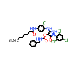 CCCCCCCCCCCCCCCC(=O)Nc1ccc(Nc2[nH]n(-c3c(Cl)cc(Cl)cc3Cl)c(=O)c2OC(=O)NCc2ccccc2)c(Cl)c1